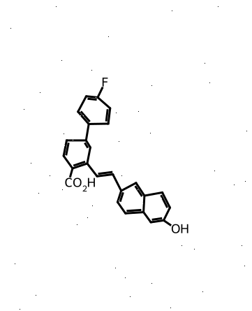 O=C(O)c1ccc(-c2ccc(F)cc2)cc1/C=C/c1ccc2cc(O)ccc2c1